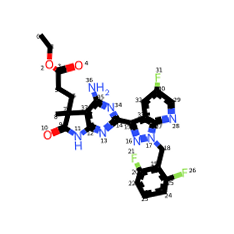 CCOC(=O)CCC1(C)C(=O)Nc2nc(-c3nn(Cc4c(F)cccc4F)c4ncc(F)cc34)nc(N)c21